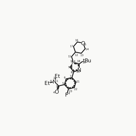 CCN(CC)C(=O)c1cc(-c2cn(CC3CCOCC3)c(C(C)(C)C)n2)ccc1F